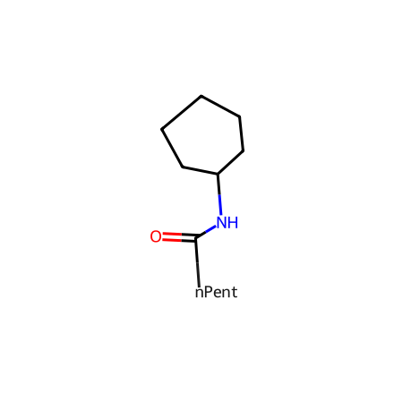 CCCCCC(=O)NC1CCCCC1